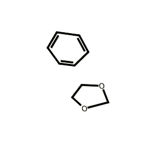 C1COCO1.c1ccccc1